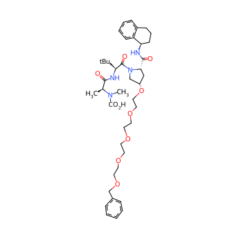 C[C@@H](C(=O)N[C@H](C(=O)N1C[C@@H](OCCOCCOCCOCCOCc2ccccc2)C[C@H]1C(=O)N[C@@H]1CCCc2ccccc21)C(C)(C)C)N(C)C(=O)O